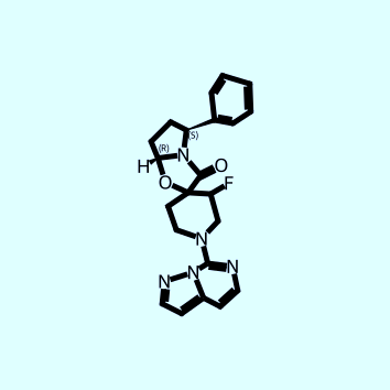 O=C1N2[C@@H](CC[C@H]2c2ccccc2)OC12CCN(c1nccc3ccnn13)CC2F